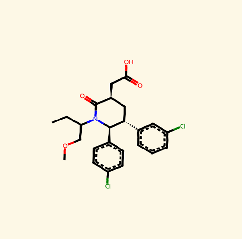 CCC(COC)N1C(=O)[C@@H](CC(=O)O)C[C@H](c2cccc(Cl)c2)[C@H]1c1ccc(Cl)cc1